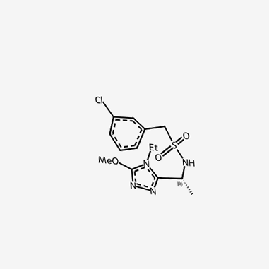 CCn1c(OC)nnc1[C@@H](C)NS(=O)(=O)Cc1cccc(Cl)c1